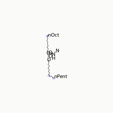 CCCCC/C=C\C/C=C\CCCCCCCCOCC(COCCCCCCCC/C=C\CCCCCCCC)OC(=O)NCCN(C)C